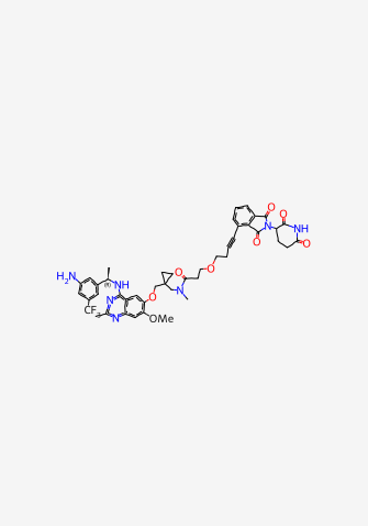 COc1cc2nc(C)nc(N[C@H](C)c3cc(N)cc(C(F)(F)F)c3)c2cc1OCC1(CN(C)C(=O)CCOCCC#Cc2cccc3c2C(=O)N(C2CCC(=O)NC2=O)C3=O)CC1